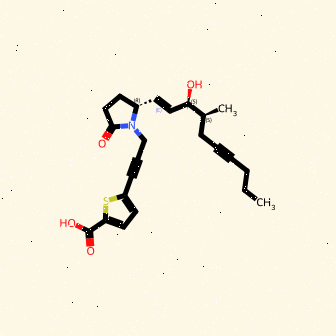 CCCC#CC[C@H](C)[C@H](O)/C=C/[C@H]1CCC(=O)N1CC#Cc1ccc(C(=O)O)s1